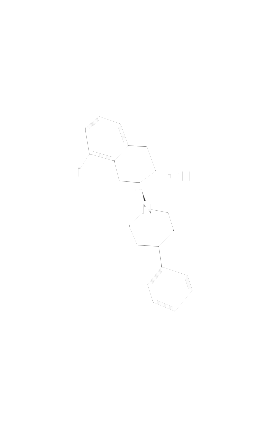 O[C@H]1Cc2cccc(I)c2C[C@@H]1N1CCC(c2ccccc2)CC1